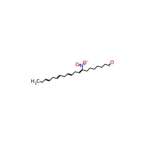 CC/C=C/C/C=C/C/C=C/C/C=C(/CCCCCC[C]=O)[N+](=O)[O-]